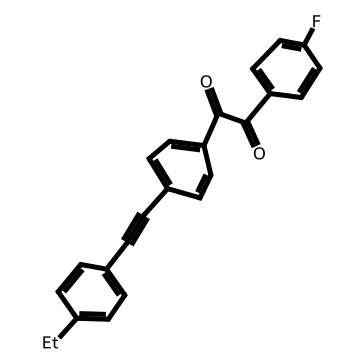 CCc1ccc(C#Cc2ccc(C(=O)C(=O)c3ccc(F)cc3)cc2)cc1